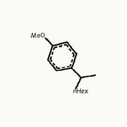 [CH2]C(CCCCCC)c1ccc(OC)cc1